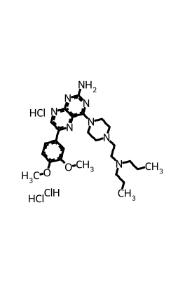 CCCN(CCC)CCN1CCN(c2nc(N)nc3ncc(-c4ccc(OC)c(OC)c4)nc23)CC1.Cl.Cl.Cl